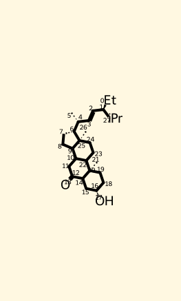 CC[C@H](/C=C/[C@@H](C)[C@H]1CCC2C3CC(=O)C4C[C@@H](O)CC[C@]4(C)C3CC[C@@]21C)C(C)C